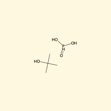 CC(C)(C)O.O=[PH](O)O